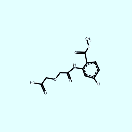 COC(=O)c1ccc(Cl)cc1NC(=O)COCC(=O)O